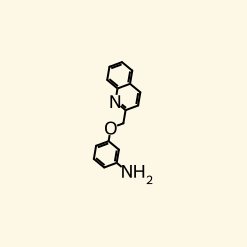 Nc1cccc(OCc2ccc3ccccc3n2)c1